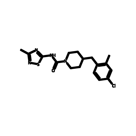 Cc1nsc(NC(=O)N2CCC(Cc3ccc(Cl)cc3C)CC2)n1